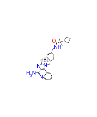 CCCCc1nc2c(N)nc3ccccc3c2n1Cc1ccc(CNC(=O)C(C)(C)C2CCC2)cc1